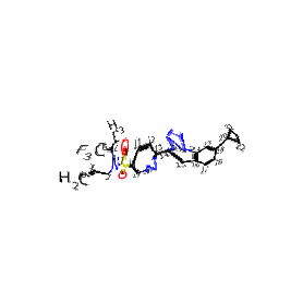 C=CCN(C(C)C(F)(F)F)S(=O)(=O)c1ccc(-c2cc3ccc(C4CC4)cc3[nH]2)nc1